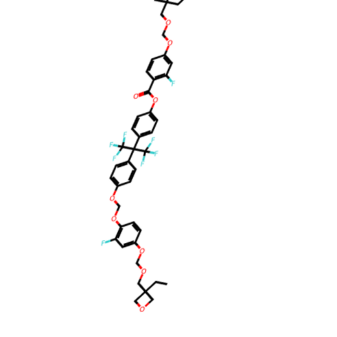 CCC1(COCOc2ccc(OCOc3ccc(C(c4ccc(OC(=O)c5ccc(OCOCC6(CC)COC6)cc5F)cc4)(C(F)(F)F)C(F)(F)F)cc3)c(F)c2)COC1